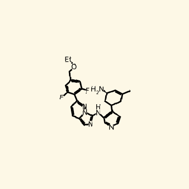 CCOCc1cc(F)c(-c2ccc3cnc(Nc4cnccc4C4CC(C)=C[C@H](N)C4)n3n2)c(F)c1